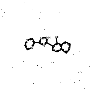 Oc1c(-c2nc(-c3cnccn3)n[nH]2)ccc2ccccc12